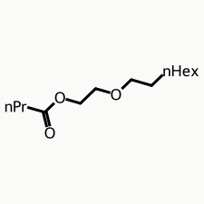 CCCCCCCCOCCOC(=O)CCC